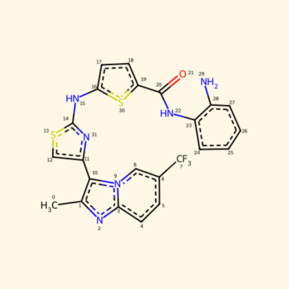 Cc1nc2ccc(C(F)(F)F)cn2c1-c1csc(Nc2ccc(C(=O)Nc3ccccc3N)s2)n1